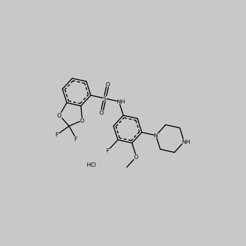 COc1c(F)cc(NS(=O)(=O)c2cccc3c2OC(F)(F)O3)cc1N1CCNCC1.Cl